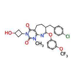 Cn1c2c(c(=O)n(C3CC(O)C3)c1=O)CCC(Cc1ccc(Cl)cc1)C(Oc1cccc(OC(F)(F)F)c1)=N2